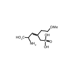 COCCC(=CC(N)C(=O)O)CP(=O)(O)O